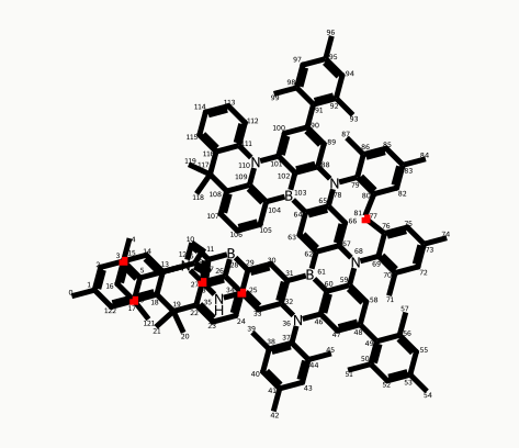 Cc1cc(C)c(-c2cc3c4c(c2)N2c5ccccc5C(C)(C)c5cccc(c52)B4c2cc4c(cc2N3)N(c2c(C)cc(C)cc2C)c2cc(-c3c(C)cc(C)cc3C)cc3c2B4c2cc4c(cc2N3c2c(C)cc(C)cc2C)N(c2c(C)cc(C)cc2C)c2cc(-c3c(C)cc(C)cc3C)cc3c2B4c2cccc4c2N3c2ccccc2C4(C)C)c(C)c1